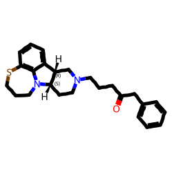 O=C(CCCN1CC[C@H]2[C@@H](C1)c1cccc3c1N2CCCS3)Cc1ccccc1